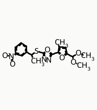 COC(OC)c1cc(C)c(-c2nnc(SC(C)c3cccc([N+](=O)[O-])c3)o2)o1